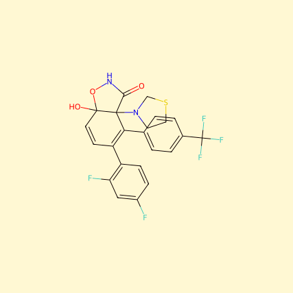 O=C1NOC2(O)C=CC(c3ccc(F)cc3F)=C(c3ccc(C(F)(F)F)cc3)C12N1CCSC1